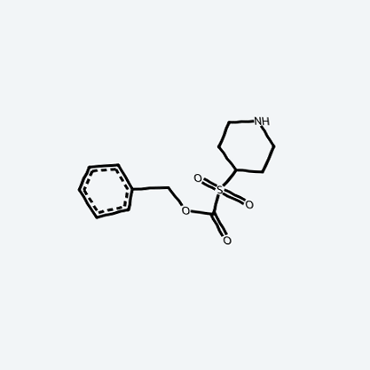 O=C(OCc1ccccc1)S(=O)(=O)C1CCNCC1